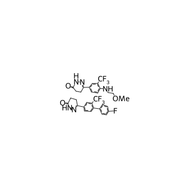 COCCNc1ccc(C2=NNC(=O)CC2)cc1C(F)(F)F.O=C1CCC(c2ccc(-c3ccc(F)cc3)c(C(F)(F)F)c2)=NN1